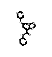 O=C(Nc1ccccn1)c1cc(Oc2cncnc2)cn2ncnc12